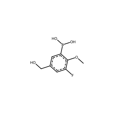 COc1c(F)cc(CO)cc1B(O)O